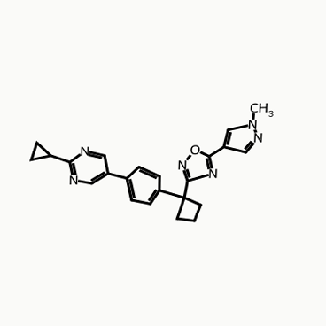 Cn1cc(-c2nc(C3(c4ccc(-c5cnc(C6CC6)nc5)cc4)CCC3)no2)cn1